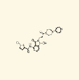 O=C(Nc1cccc2c1C(=O)N(CCC(=O)N1CCN(c3ccncc3)CC1)C2O)c1ccc(Cl)s1